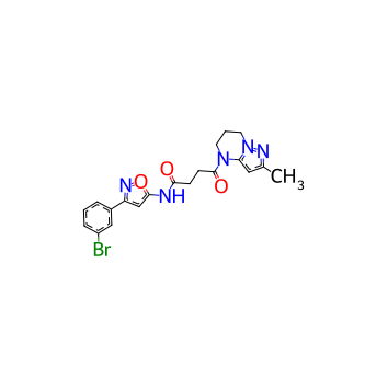 Cc1cc2n(n1)CCCN2C(=O)CCC(=O)Nc1cc(-c2cccc(Br)c2)no1